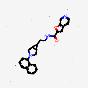 O=C(NCCC1C2CN(c3cccc4ccccc34)CC12)c1cc2ccncc2o1